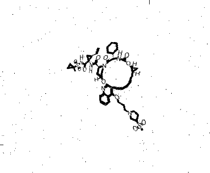 C=C[C@@H]1C[C@]1(NC(=O)[C@@H]1C[C@@H]2CN1C(=O)[C@H](C1CCCCC1)NC(=O)O[C@@H]1C[C@H]1CCCCCc1c(nc3ccccc3c1OCCCN1CCC(S(C)(=O)=O)C1)O2)C(=O)NS(=O)(=O)C1(C)CC1